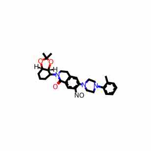 Cc1ccccc1N1CCN(c2cc3c(cc2N=O)C(=O)N(C2CCC[C@@H]4OC(C)(C)O[C@H]24)CC3)CC1